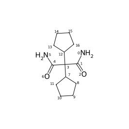 NC(=O)C(C(N)=O)(C1CCCC1)C1CCCC1